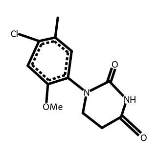 COc1cc(Cl)c(C)cc1N1CCC(=O)NC1=O